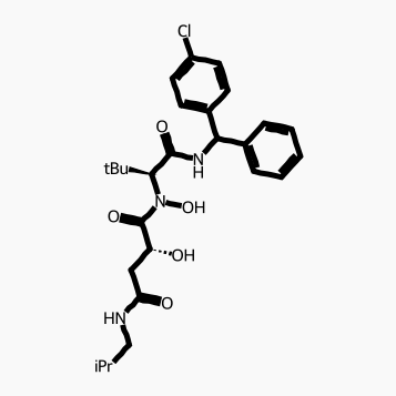 CC(C)CNC(=O)C[C@@H](O)C(=O)N(O)[C@H](C(=O)NC(c1ccccc1)c1ccc(Cl)cc1)C(C)(C)C